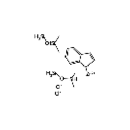 C[SiH](C)O[SiH3].C[SiH](C)O[SiH3].[Cl-].[Cl-].[Zr+2][CH]1C=Cc2ccccc21